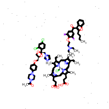 C=CC1=C(C)/C2=C/c3c(C=C)c(C)c4[n]3[Fe]([Cl])[n]3/c(c(C)c(CCC(=O)O)/c3=C/C3=NC(=C\4)/C(C)=C3CCC(=O)O)=C\C1=N2.CC(=O)N1CCN(c2ccc(OC[C@H]3CO[C@](Cn4ccnc4)(c4ccc(Cl)cc4Cl)O3)cc2)CC1.CCCCc1oc2ccccc2c1C(=O)c1cc(I)c(OCCN(CC)CC)c(I)c1